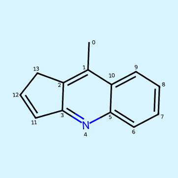 Cc1c2c(nc3ccccc13)C=CC2